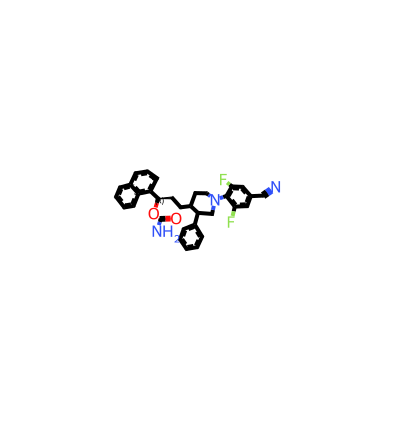 N#Cc1cc(F)c(N2CCC(CC[C@@H](OC(N)=O)c3cccc4ccccc34)C(c3ccccc3)C2)c(F)c1